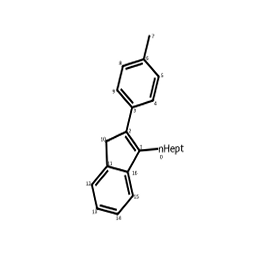 CCCCCCCC1=C(c2ccc(C)cc2)[CH]c2ccccc21